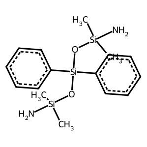 C[Si](C)(N)O[Si](O[Si](C)(C)N)(c1ccccc1)c1ccccc1